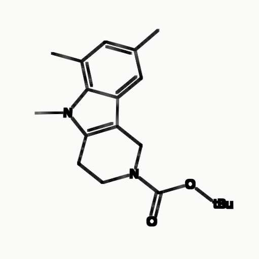 Cc1cc(C)c2c(c1)c1c(n2C)CCN(C(=O)OC(C)(C)C)C1